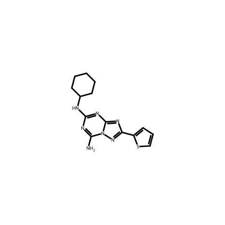 Nc1nc(NC2CCCCC2)nc2nc(-c3cccs3)nn12